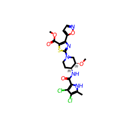 COC(=O)c1sc(N2CC[C@@H](NC(=O)c3[nH]c(C)c(Cl)c3Cl)[C@@H](OC)C2)nc1-c1ccno1